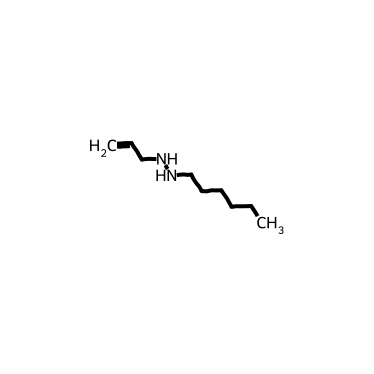 C=CCNNCCCCCC